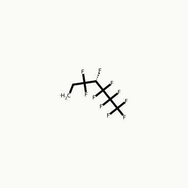 [CH2]CC(F)(F)[C@H](F)C(F)(F)C(F)(F)C(F)(F)F